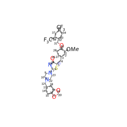 COc1cc(/C=C2/SC(N3CCN(Cc4ccc5c(c4)OCO5)CC3)=NC2=O)ccc1OCc1ccc(C(F)(F)F)cc1C(F)(F)F